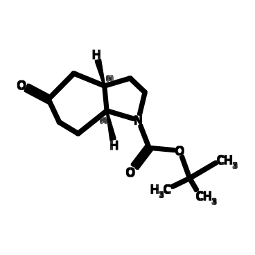 CC(C)(C)OC(=O)N1CC[C@H]2CC(=O)CC[C@H]21